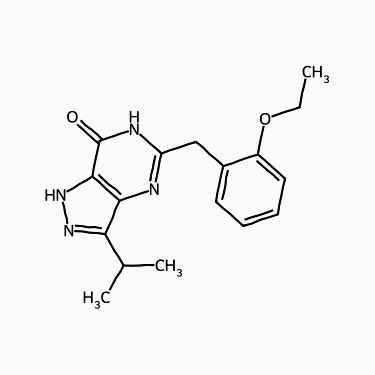 CCOc1ccccc1Cc1nc2c(C(C)C)n[nH]c2c(=O)[nH]1